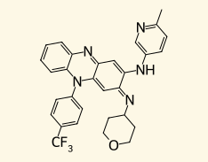 Cc1ccc(Nc2cc3nc4ccccc4n(-c4ccc(C(F)(F)F)cc4)c-3c/c2=N\C2CCOCC2)cn1